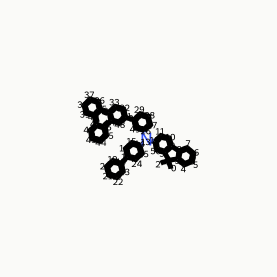 CC1(C)c2ccccc2-c2ccc(N(c3ccc(-c4ccccc4)cc3)c3cccc(-c4ccc5c6ccccc6c6ccccc6c5c4)c3)cc21